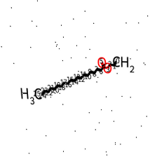 C=CCOC(=O)C=CC=CC=CC=CC=CCCCCCCCCCC